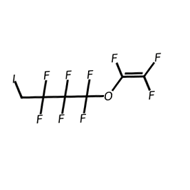 FC(F)=C(F)OC(F)(F)C(F)(F)C(F)(F)CI